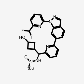 CC(C)(C)[S+]([O-])N[C@H](c1cccc(-c2ccc3cnn(-c4cccc(C(F)F)n4)c3c2)n1)C1CC(O)C1